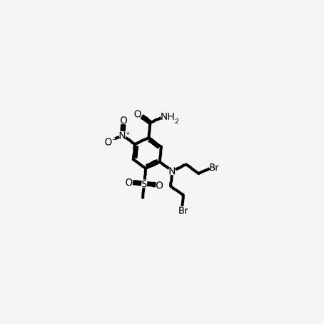 CS(=O)(=O)c1cc([N+](=O)[O-])c(C(N)=O)cc1N(CCBr)CCBr